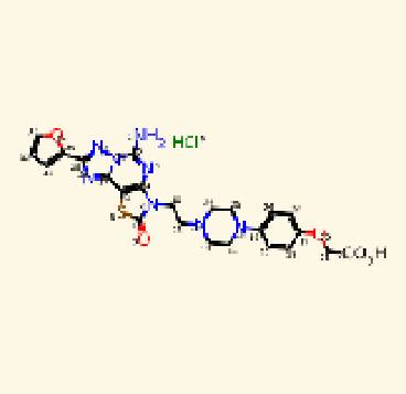 Cl.Nc1nc2c(sc(=O)n2CCN2CCN(c3ccc(OCC(=O)O)cc3)CC2)c2nc(-c3ccco3)nn12